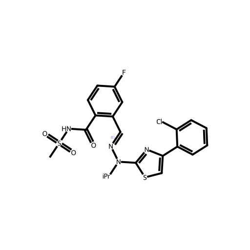 CC(C)N(/N=C/c1cc(F)ccc1C(=O)NS(C)(=O)=O)c1nc(-c2ccccc2Cl)cs1